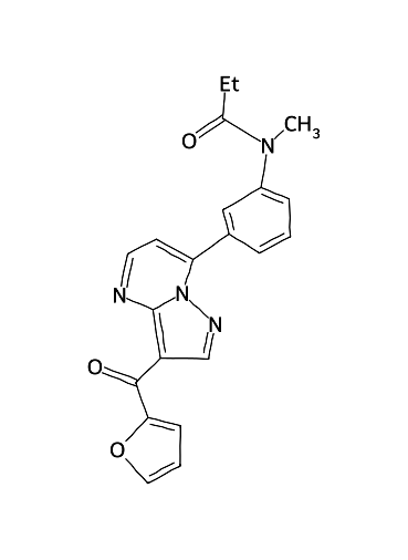 CCC(=O)N(C)c1cccc(-c2ccnc3c(C(=O)c4ccco4)cnn23)c1